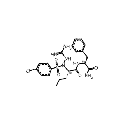 CCC[C@@H](C(=O)N[C@@H](Cc1ccccc1)C(N)=O)N(NC(=N)N)S(=O)(=O)c1ccc(Cl)cc1